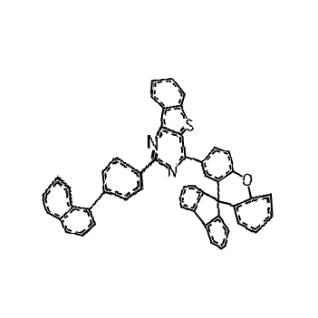 c1ccc2c(c1)Oc1ccc(-c3nc(-c4ccc(-c5cccc6ccccc56)cc4)nc4c3sc3ccccc34)cc1C21c2ccccc2-c2ccccc21